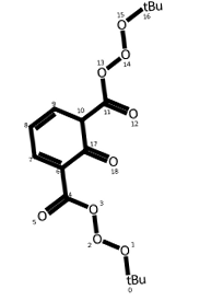 CC(C)(C)OOOC(=O)C1=CC=CC(C(=O)OOOC(C)(C)C)C1=O